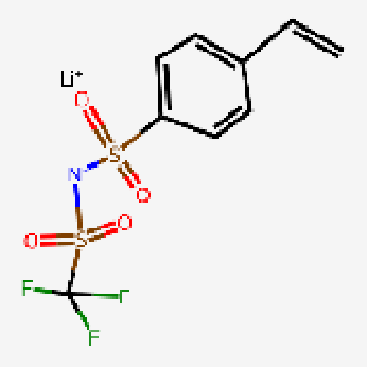 C=Cc1ccc(S(=O)(=O)[N-]S(=O)(=O)C(F)(F)F)cc1.[Li+]